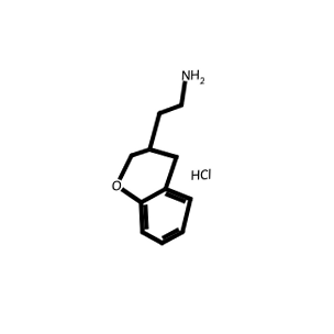 Cl.NCCC1COc2ccccc2C1